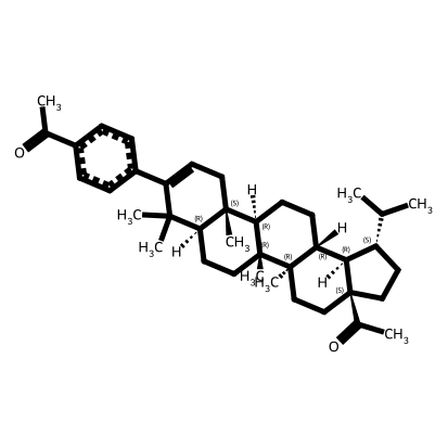 CC(=O)c1ccc(C2=CC[C@]3(C)[C@H]4CC[C@@H]5[C@H]6[C@H](C(C)C)CC[C@]6(C(C)=O)CC[C@@]5(C)[C@]4(C)CC[C@H]3C2(C)C)cc1